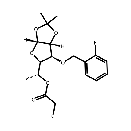 C[C@@H](OC(=O)CCl)[C@H]1O[C@@H]2OC(C)(C)O[C@@H]2[C@H]1OCc1ccccc1F